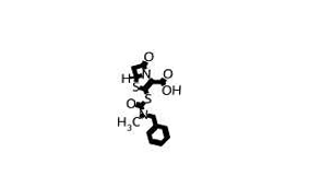 CN(Cc1ccccc1)C(=O)SC1=C(C(=O)O)N2C(=O)C[C@H]2S1